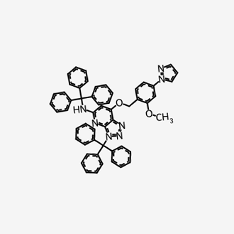 COc1cc(-n2cccn2)ccc1COc1cc(NC(c2ccccc2)(c2ccccc2)c2ccccc2)nc2c1nnn2C(c1ccccc1)(c1ccccc1)c1ccccc1